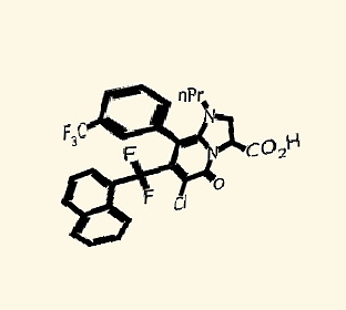 CCCN1CC(C(=O)O)n2c1c(-c1cccc(C(F)(F)F)c1)c(C(F)(F)c1cccc3ccccc13)c(Cl)c2=O